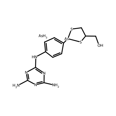 Nc1nc(N)nc(Nc2ccc([As]3SCC(CO)S3)cc2)n1.[AsH3]